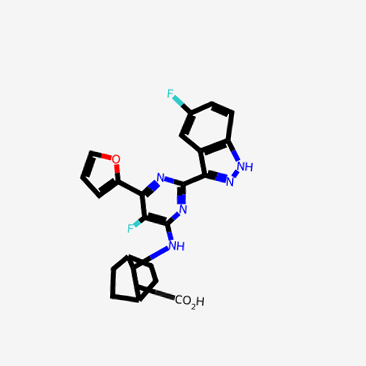 O=C(O)C1C2CCC(CC2)C1Nc1nc(-c2n[nH]c3ccc(F)cc23)nc(-c2ccco2)c1F